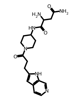 NC(=O)CC(N)C(=O)NC1CCN(C(=O)CCc2cc3ccncc3[nH]2)CC1